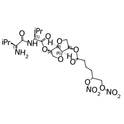 CC(C)[C@H](N)C(=O)N[C@H](C(=O)O[C@@H]1CO[C@H]2[C@@H]1OC[C@H]2OC(=O)CCCC(CO[N+](=O)[O-])O[N+](=O)[O-])C(C)C